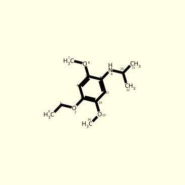 CCOc1cc(OC)c(NC(C)C)cc1OC